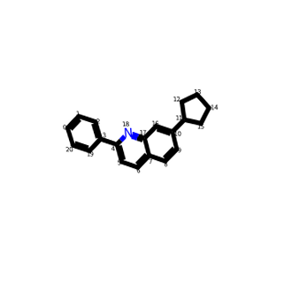 c1ccc(-c2ccc3ccc(C4CCCC4)cc3n2)cc1